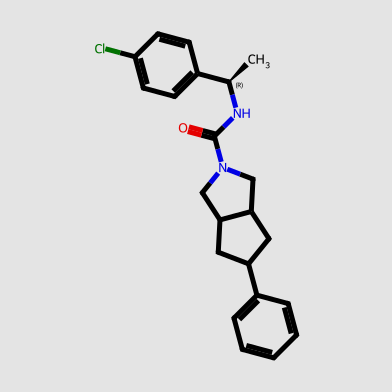 C[C@@H](NC(=O)N1CC2CC(c3ccccc3)CC2C1)c1ccc(Cl)cc1